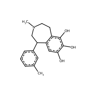 Cc1cccc(C2CN(C)CCc3c2cc(O)c(O)c3O)c1